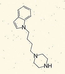 c1ccc2c(c1)ccn2CCCCN1CCNCC1